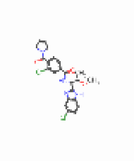 CO[C@H](C)[C@H](NC(=O)c1ccc(C(=O)N2CC=CC2)c(Cl)c1)c1nc2cc(Cl)ccc2[nH]1